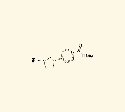 CNC(=O)c1ccc(C2CCN(C(C)C)C2)cc1